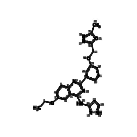 CCOc1ccc2nc(-c3cccc(OCc4nnc(C)o4)c3)nc(Nc3cc[nH]n3)c2c1